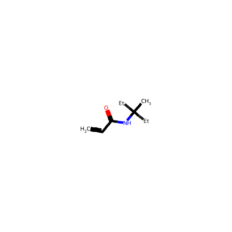 C=CC(=O)NC(C)(CC)CC